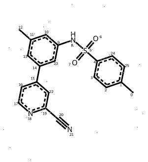 Cc1ccc(S(=O)(=O)Nc2cc(C)cc(-c3ccnc(C#N)c3)c2)cc1